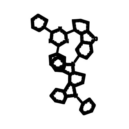 c1ccc(-c2nc(-c3ccccc3)nc(-c3cccc4oc5ccc(-n6c7ccccc7c7c8c9ccccc9n(-c9ccccc9)c8ccc76)cc5c34)n2)cc1